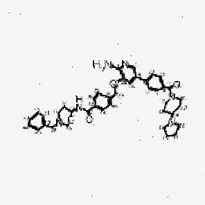 Nc1ncc(-c2ccc(C(=O)N3CCC(N4CCCC4)CC3)cc2)cc1OCc1ccc(C(=O)NC2CCN(Cc3ccccc3)CC2)cc1